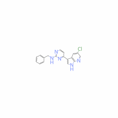 Clc1cnc2[nH]cc(-c3ccnc(NCc4ccccc4)n3)c2c1